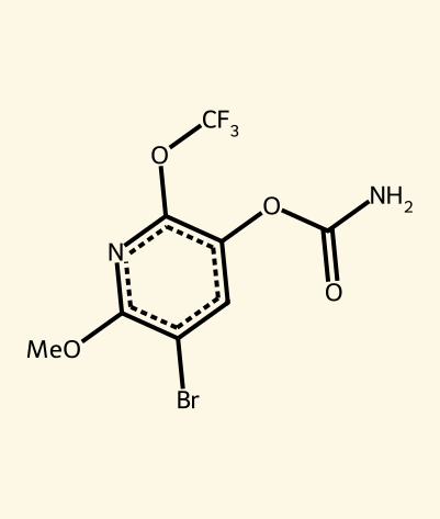 COc1nc(OC(F)(F)F)c(OC(N)=O)cc1Br